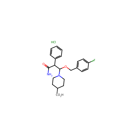 Cl.NC(=O)C(c1ccccc1)C(OCc1ccc(F)cc1)N1CCC(C(=O)O)CC1